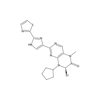 CC[C@@H]1C(=O)N(C)c2cnc(-c3c[nH]c(-c4nccs4)n3)nc2N1C1CCCC1